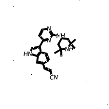 CC1(C)CC(Nc2nccc(-c3c[nH]c4cc(/C=C/C#N)ccc34)n2)CC(C)(C)N1